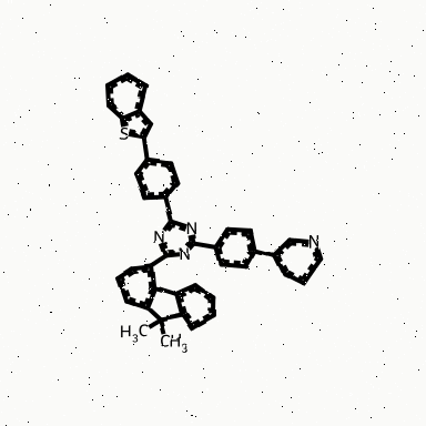 CC1(C)c2ccccc2-c2c(-c3nc(-c4ccc(-c5cccnc5)cc4)nc(-c4ccc(-c5cc6ccccc6s5)cc4)n3)cccc21